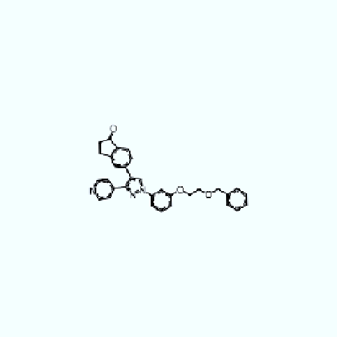 O=C1CCc2cc(-c3cn(-c4cccc(OCCOCc5ccccc5)c4)nc3-c3ccncc3)ccc21